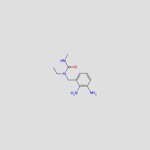 CCN(Cc1cccc(N)c1N)C(=O)NC